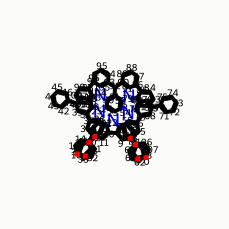 c1ccc(-c2ccc3c(c2)c2cc(-c4ccccc4)ccc2n3-c2c(-n3c4ccc(-c5ccccc5)cc4c4cc(-c5ccccc5)ccc43)c3c4c(c2-n2c5ccc(-c6ccccc6)cc5c5cc(-c6ccccc6)ccc52)-n2c5ccccc5c5cccc(c52)C4c2cccc4c5ccccc5n-3c24)cc1